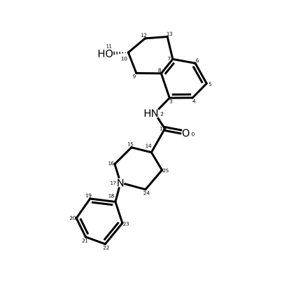 O=C(Nc1cccc2c1C[C@H](O)CC2)C1CCN(c2ccccc2)CC1